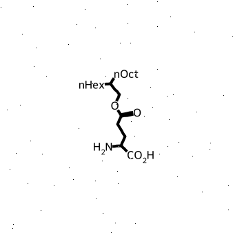 CCCCCCCCC(CCCCCC)COC(=O)CCC(N)C(=O)O